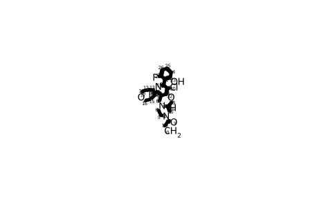 C=CC(=O)N1CCN2Cc3c(N4C5CCC4COC5)nc(-c4c(O)cccc4F)c(Cl)c3OC[C@H]2C1